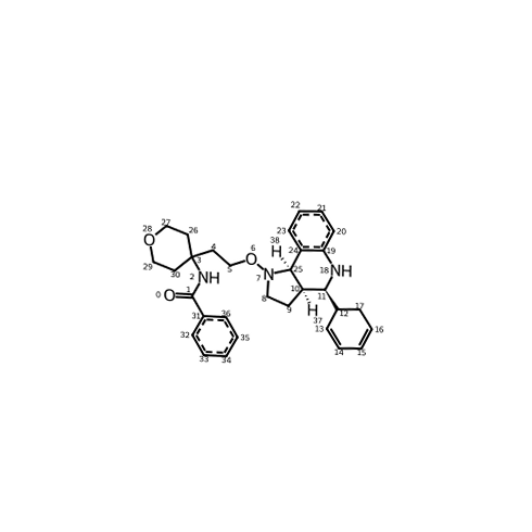 O=C(NC1(CCON2CC[C@@H]3[C@H](C4C=CC=CC4)Nc4ccccc4[C@@H]32)CCOCC1)c1ccccc1